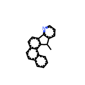 CC1c2cccnc2-c2ccc3ccc4ccccc4c3c21